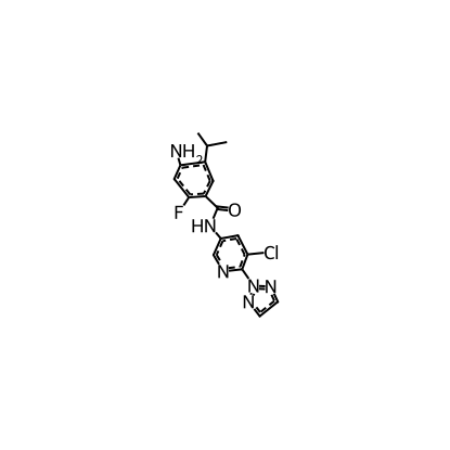 CC(C)c1cc(C(=O)Nc2cnc(-n3nccn3)c(Cl)c2)c(F)cc1N